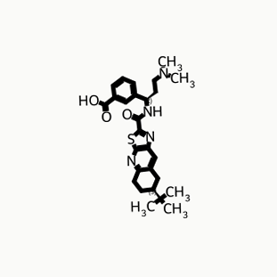 CN(C)CC[C@@H](NC(=O)c1nc2cc3c(nc2s1)CC[C@H](C(C)(C)C)C3)c1cccc(C(=O)O)c1